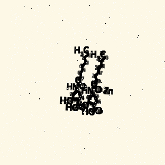 CCCCCCCCOC(=O)Nc1ccc(C(=O)O)c(O)c1.CCCCCCCCOC(=O)Nc1ccc(C(=O)O)c(O)c1.[Zn]